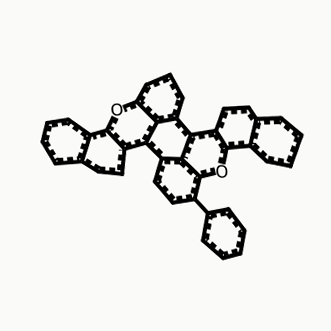 c1ccc(-c2ccc3c4c2oc2c5ccccc5ccc2c4c2cccc4oc5c6ccccc6ccc5c3c42)cc1